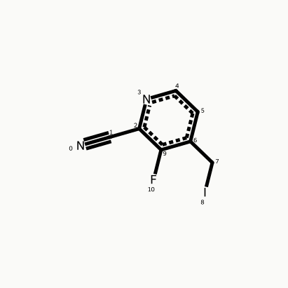 N#Cc1nccc(CI)c1F